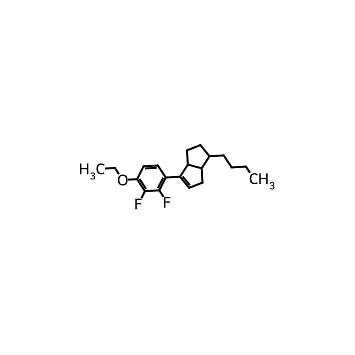 CCCCC1CCC2C(c3ccc(OCC)c(F)c3F)=CCC12